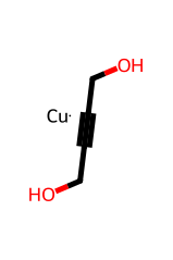 OCC#CCO.[Cu]